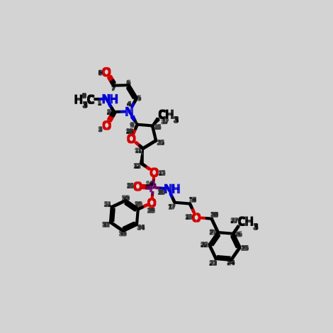 CNC(=O)N(/C=C\C=O)[C@@H]1O[C@H](COP(=O)(NCCOCc2ccccc2C)Oc2ccccc2)C[C@@H]1C